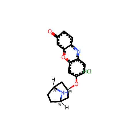 Cl.O=c1ccc2nc3ccc(O[C@H]4C[C@H]5CC[C@@H](C4)N5)cc3oc-2c1